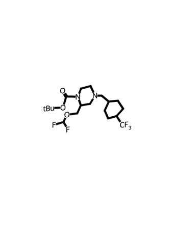 CC(C)(C)OC(=O)N1CCN(CC2CCC(C(F)(F)F)CC2)CC1COC(F)F